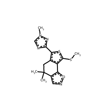 CSc1sc(-c2ncn(C)n2)c2c1-c1oncc1C(C)(C)C2